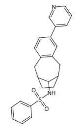 O=S(=O)(NC1C2CCC1Cc1cc(-c3cccnc3)ccc1C2)c1ccccc1